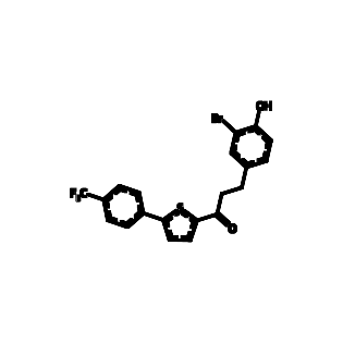 O=C(CCc1ccc(O)c(Br)c1)c1ccc(-c2ccc(C(F)(F)F)cc2)s1